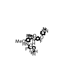 [2H]C([2H])([2H])N1CCC[C@@H]1/C=C(/F)C(=O)Nc1cc2c(Nc3cc(F)c(Oc4ccn5ncnc5c4)cc3OC)ncnc2cc1OC